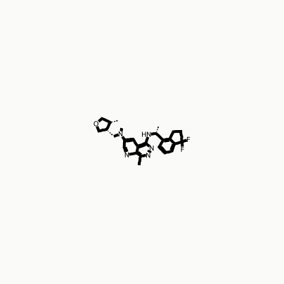 Cc1nnc(N[C@H](C)c2cccc3c2CCC3(F)F)c2cc(N(C)C[C@@H]3COC[C@@H]3C)cnc12